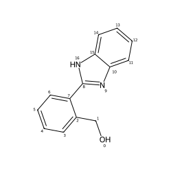 OCc1ccccc1-c1nc2ccccc2[nH]1